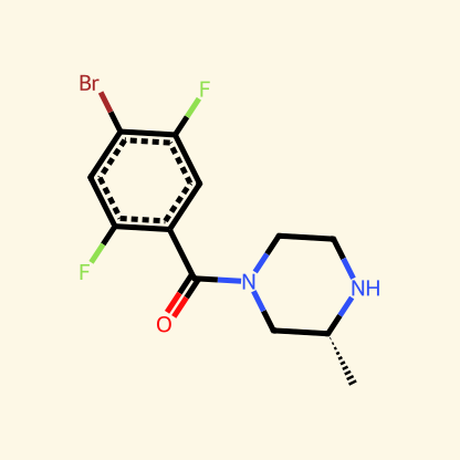 C[C@@H]1CN(C(=O)c2cc(F)c(Br)cc2F)CCN1